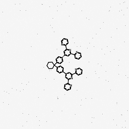 c1ccc(-c2cc(-c3ccc(C4(c5ccc(-c6cc(-c7ccccn7)nc(-c7ccccn7)c6)cc5)CCCCC4)cc3)cc(-c3ccccn3)n2)nc1